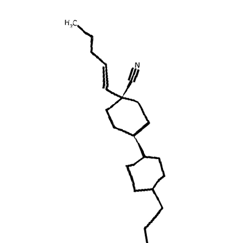 CCCC=C[C@]1(C#N)CC[C@@H](C2CCC(CCC)CC2)CC1